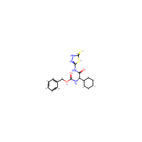 O=C(NC(C(=O)Nc1n[nH]c(=S)s1)C1CCCCC1)OCc1ccccc1